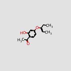 CC=C(CC)Oc1ccc(C(C)=O)c(O)c1